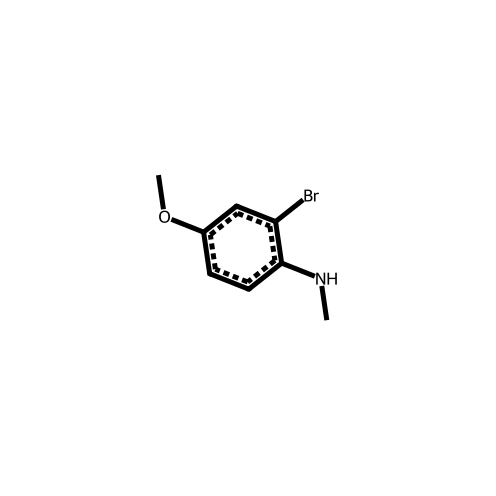 CNc1ccc(OC)cc1Br